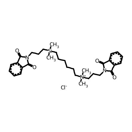 C[N+](C)(CCCCCC[Si](C)(C)CCCN1C(=O)c2ccccc2C1=O)CCCN1C(=O)c2ccccc2C1=O.[Cl-]